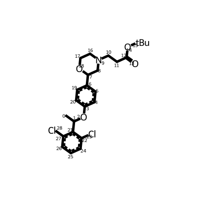 CC(Oc1ccc(C2CN(CCC(=O)OC(C)(C)C)CCO2)cc1)c1c(Cl)cccc1Cl